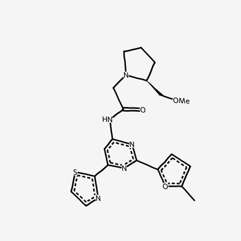 COC[C@@H]1CCCN1CC(=O)Nc1cc(-c2nccs2)nc(-c2ccc(C)o2)n1